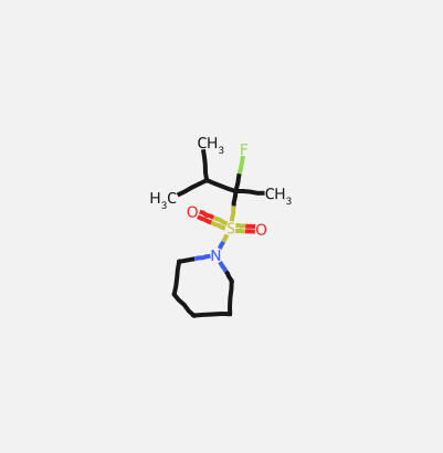 CC(C)C(C)(F)S(=O)(=O)N1CCCCC1